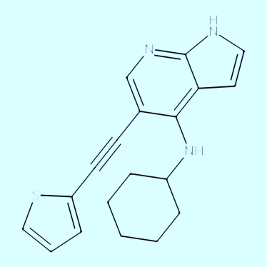 C(#Cc1cnc2[nH]ccc2c1NC1CCCCC1)c1cccs1